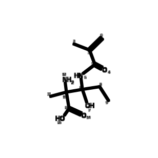 C=C(C)C(=O)NC(O)(CC)C(C)(N)C(=O)O